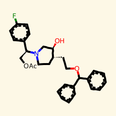 CC(=O)OC[C@@H](c1ccc(F)cc1)N1CC[C@@H](CCOC(c2ccccc2)c2ccccc2)[C@H](O)C1